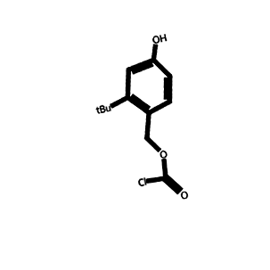 CC(C)(C)c1cc(O)ccc1COC(=O)Cl